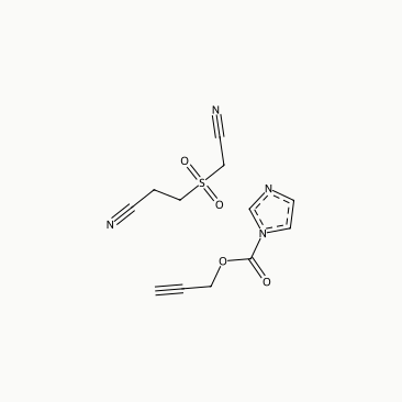 C#CCOC(=O)n1ccnc1.N#CCCS(=O)(=O)CC#N